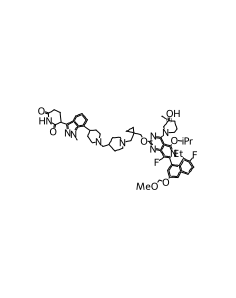 CCc1c(F)ccc2cc(OCOC)cc(-c3nc(OC(C)C)c4c(N5CCC[C@@](C)(O)C5)nc(OCC5(CN6CCC(CN7CCC(c8cccc9c(C%10CCC(=O)NC%10=O)nn(C)c89)CC7)CC6)CC5)nc4c3F)c12